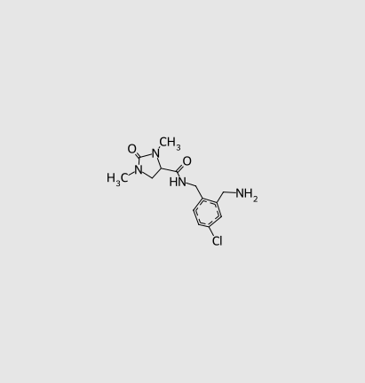 CN1CC(C(=O)NCc2ccc(Cl)cc2CN)N(C)C1=O